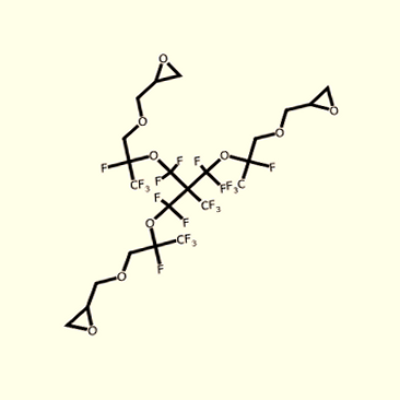 FC(F)(F)C(F)(COCC1CO1)OC(F)(F)C(C(F)(F)F)(C(F)(F)OC(F)(COCC1CO1)C(F)(F)F)C(F)(F)OC(F)(COCC1CO1)C(F)(F)F